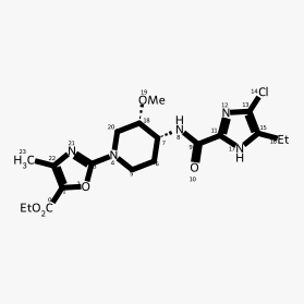 CCOC(=O)c1oc(N2CC[C@@H](NC(=O)c3nc(Cl)c(CC)[nH]3)[C@@H](OC)C2)nc1C